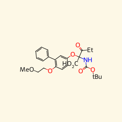 CCC(=O)C(NC(=O)OC(C)(C)C)(Oc1ccc(OCCOC)c(-c2ccccc2)c1)C(=O)O